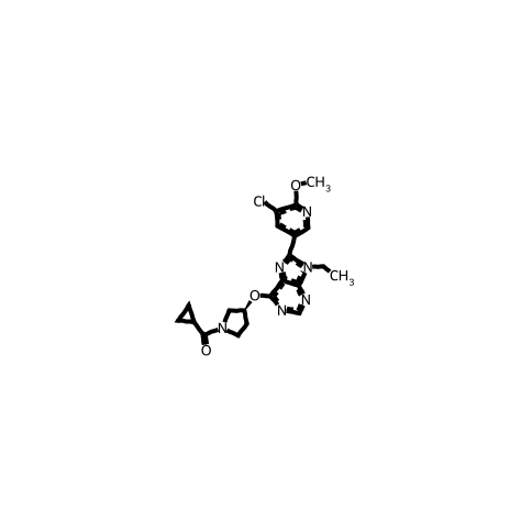 CCn1c(-c2cnc(OC)c(Cl)c2)nc2c(O[C@H]3CCN(C(=O)C4CC4)C3)ncnc21